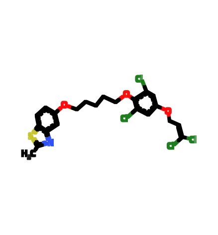 Cc1nc2cc(OCCCCCOc3c(Cl)cc(OCC=C(Cl)Cl)cc3Cl)ccc2s1